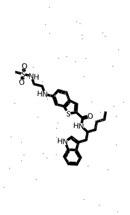 CCCCC(Cc1c[nH]c2ccccc12)NC(=O)c1cc2ccc(NCCNS(C)(=O)=O)cc2s1